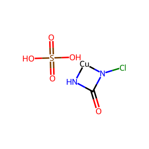 O=C1[NH][Cu][N]1Cl.O=S(=O)(O)O